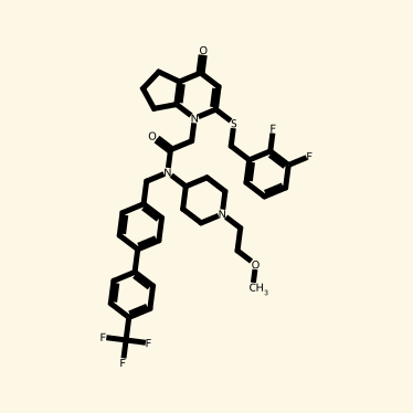 COCCN1CCC(N(Cc2ccc(-c3ccc(C(F)(F)F)cc3)cc2)C(=O)Cn2c(SCc3cccc(F)c3F)cc(=O)c3c2CCC3)CC1